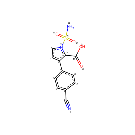 N#Cc1ccc(-c2ccn(S(N)(=O)=O)c2C(=O)O)cc1